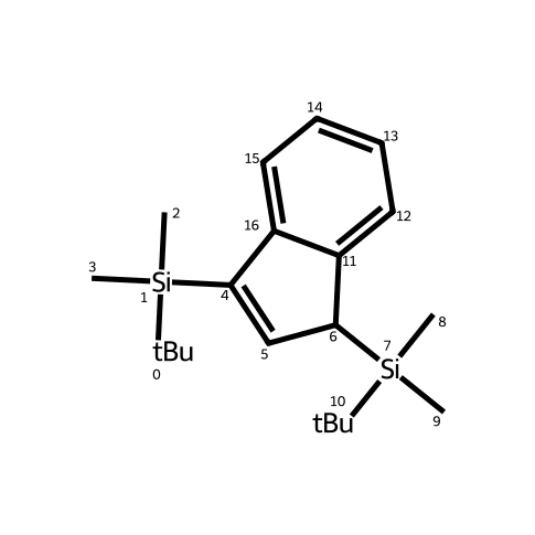 CC(C)(C)[Si](C)(C)C1=CC([Si](C)(C)C(C)(C)C)c2ccccc21